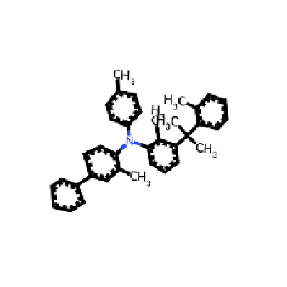 Cc1ccc(N(c2ccc(-c3ccccc3)cc2C)c2cccc(C(C)(C)c3ccccc3C)c2C)cc1